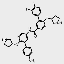 Cc1ccc(-c2cc(NC(=O)c3cnc(O[C@H]4CCNC4)c(-c4ccc(F)c(F)c4)c3)cnc2O[C@H]2CCNC2)cc1